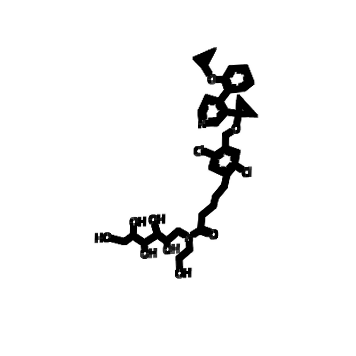 O=C(CCCCc1cc(Cl)c(COC2(c3cnccc3-c3ccccc3OC3CC3)CC2)cc1Cl)N(CCO)CC(O)C(O)C(O)C(O)CO